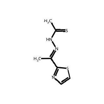 CC(=S)N/N=C(\C)c1nccs1